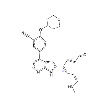 CN\C=C/C=C(\C=C\C=O)c1cc2c(-c3ccc(OC4CCOCC4)c(C#N)c3)ccnc2[nH]1